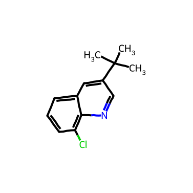 CC(C)(C)c1cnc2c(Cl)cccc2c1